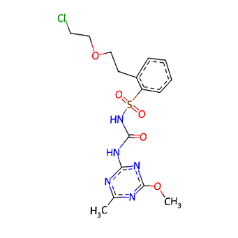 COc1nc(C)nc(NC(=O)NS(=O)(=O)c2ccccc2CCOCCCl)n1